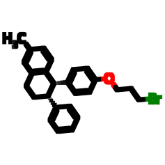 Cc1ccc2c(c1)CC[C@@H](c1ccccc1)[C@H]2c1ccc(OCCCBr)cc1